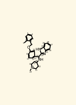 Cc1ccccc1COc1cccc(C(NC2CCN(C)CC2)c2nc3ccccc3[nH]2)c1